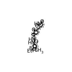 CCC(F)(F)c1cc(NC(=O)NCc2scc3c2CCC(CCC2CCC(=O)NC2=O)C3=O)ccc1C